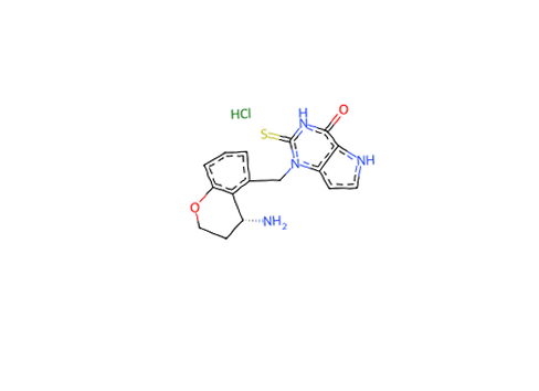 Cl.N[C@@H]1CCOc2cccc(Cn3c(=S)[nH]c(=O)c4[nH]ccc43)c21